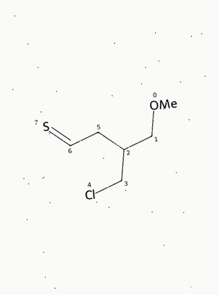 COCC(CCl)CC=S